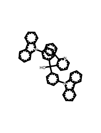 OC(c1cccc(-n2c3ccccc3c3ccccc32)c1)(c1cccc(-n2c3ccccc3c3ccccc32)c1)c1cccnc1-c1ccccc1